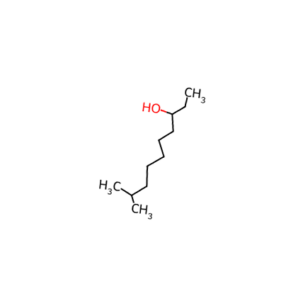 CCC(O)CCCCCC(C)C